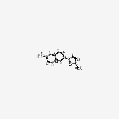 CCc1ncc(-c2ccc3cc(C(C)C)ccc3c2)s1